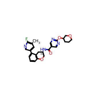 Cc1cc(-c2cccc3c2C[C@H](NC(=O)c2cnc(OC4CCCOC4)nc2)CO3)cnc1F